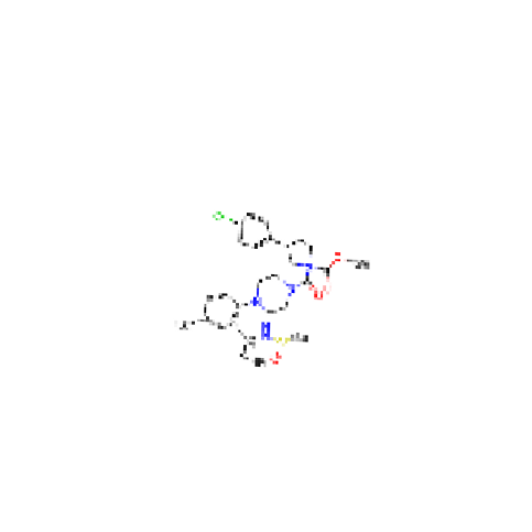 CC(C)C[C@H](N[S+]([O-])C(C)(C)C)c1cc(C(F)(F)F)ccc1N1CCN(C(=O)[N+]2(C(=O)OC(C)(C)C)CCC(c3ccc(Cl)cc3)C2)CC1